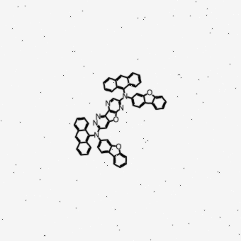 c1ccc2c(N(c3ccc4c(c3)oc3ccccc34)c3cc4oc5nc(N(c6ccc7c(c6)oc6ccccc67)c6c7ccccc7cc7ccccc67)cnc5c4nn3)c3ccccc3cc2c1